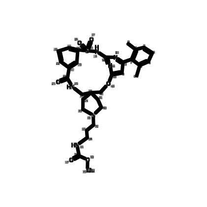 Cc1cccc(C)c1-c1cc2nc(n1)NS(=O)(=O)c1cccc(c1)C(=O)NCC1(CCN(CCCNC(=O)OC(C)(C)C)CC1)CO2